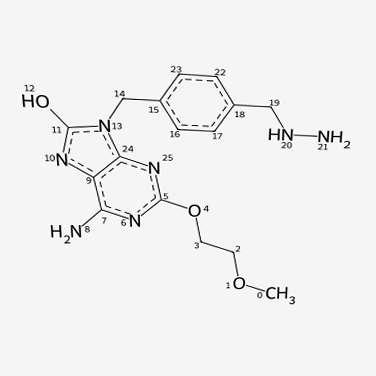 COCCOc1nc(N)c2nc(O)n(Cc3ccc(CNN)cc3)c2n1